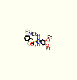 CCOc1cc2nc([S+]([O-])Cc3c(C)cccc3N(CC)CC)[nH]c2cc1OCC